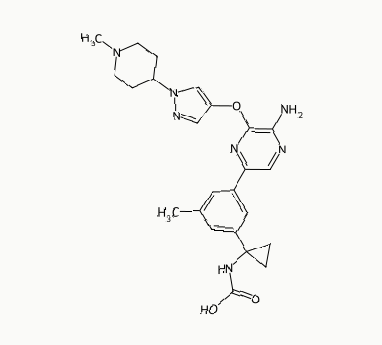 Cc1cc(-c2cnc(N)c(Oc3cnn(C4CCN(C)CC4)c3)n2)cc(C2(NC(=O)O)CC2)c1